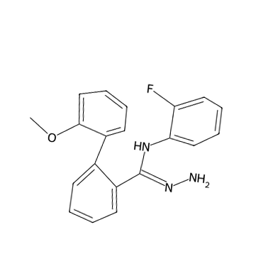 COc1ccccc1-c1ccccc1/C(=N/N)Nc1ccccc1F